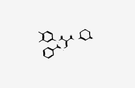 Cc1ccc(-n2c(-c3ccccc3)ncc(C(=O)OC3=CC(=O)CCC3)c2=O)cc1C